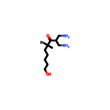 CCC(C)(CCCCCO)C(=O)C(CN)CN